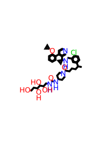 CC(CCCC(=O)N1CCC(NC(=O)NC[C@H](O)[C@@H](O)[C@H](O)CCO)CC1)c1ccc(Cl)c(CNC2(c3cnccc3-c3ccccc3OC3CC3)CC2)c1